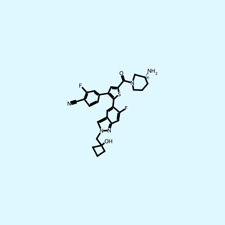 N#Cc1ccc(-c2cc(C(=O)N3CCC[C@@H](N)C3)sc2-c2cc3cn(CC4(O)CCC4)nc3cc2F)cc1F